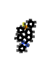 S=P(c1ccccc1)(c1ccccc1)c1ccc2ccc3c(c2c1)c1ccccc1n1c2ccccc2nc31